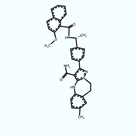 COc1ccc2ccccc2c1C(=O)N[C@H](C)c1ccc(-c2nn3c(c2C(N)=O)Nc2ccc(C)cc2CC3)cc1